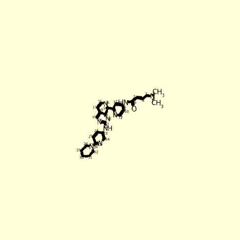 CN(C)CC=CC(=O)Nc1ccnc(-c2nccc3cnc(Nc4ccc(N5CCCCC5)nc4)nc23)c1